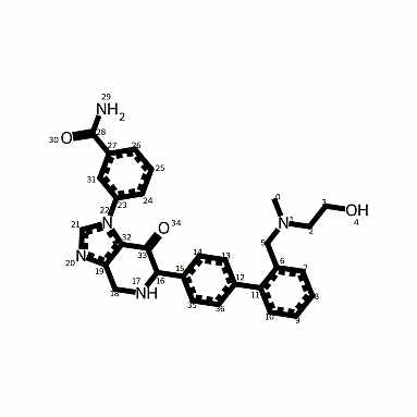 CN(CCO)Cc1ccccc1-c1ccc(C2NCc3ncn(-c4cccc(C(N)=O)c4)c3C2=O)cc1